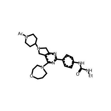 CCNC(=O)Nc1ccc(-c2nc3c(c(N4CCCOCC4)n2)CN(C2CCN(C(C)=O)CC2)C3)cc1